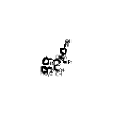 CC(C)CN(C[C@@H](O)[C@H](Cc1ccccc1)NC(=O)[C@H]([C@@H](C)O)N(Cc1ccccc1)C(=O)O)S(=O)(=O)c1ccc(C=NO)cc1